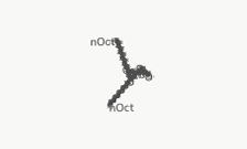 CCCCCCCC/C=C\CCCCCCCCOc1cc(OCCCCCCCC/C=C\CCCCCCCC)cc(C2OCC(C[O])O2)c1